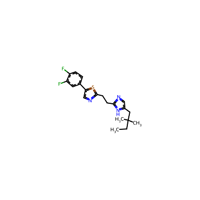 CCC(C)(C)Cc1cnc(CCc2ncc(-c3ccc(F)c(F)c3)s2)[nH]1